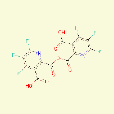 O=C(OC(=O)c1nc(F)c(F)c(F)c1C(=O)O)c1nc(F)c(F)c(F)c1C(=O)O